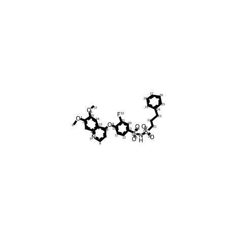 COc1cc2nccc(Oc3ccc(S(=O)(=O)NS(=O)(=O)CCCc4ccccc4)cc3F)c2cc1OC